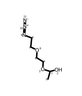 CC(O)OCCOCCN=[N+]=[N-]